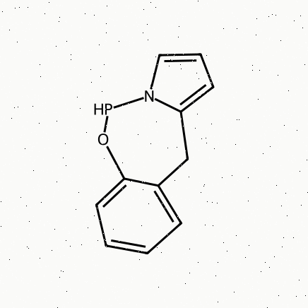 c1ccc2c(c1)Cc1cccn1PO2